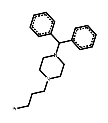 CC(C)CCCN1CCN(C(c2ccccc2)c2ccccc2)CC1